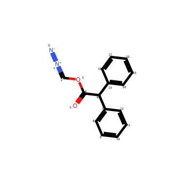 [N-]=[N+]=COC(=O)C(c1ccccc1)c1ccccc1